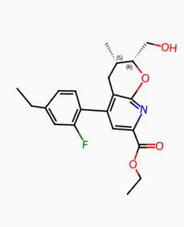 CCOC(=O)c1cc(-c2ccc(CC)cc2F)c2c(n1)O[C@@H](CO)[C@@H](C)C2